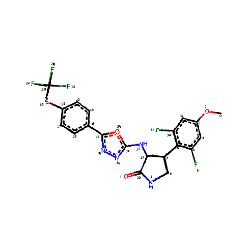 COc1cc(F)c(C2CNC(=O)C2Nc2nnc(-c3ccc(SC(F)(F)F)cc3)o2)c(F)c1